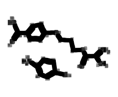 C=C(C)C(=O)OCCCOc1ccc(C(=O)O)cc1.Nc1ccc(Cl)cc1